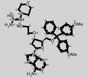 COc1ccc(C(OC[C@H]2O[C@@H](n3cnc4c(N)ncnc43)C[C@@H]2OCCC#N)(c2ccccc2)c2ccc(OC)cc2)cc1.NP(O)NN1CCOCC1